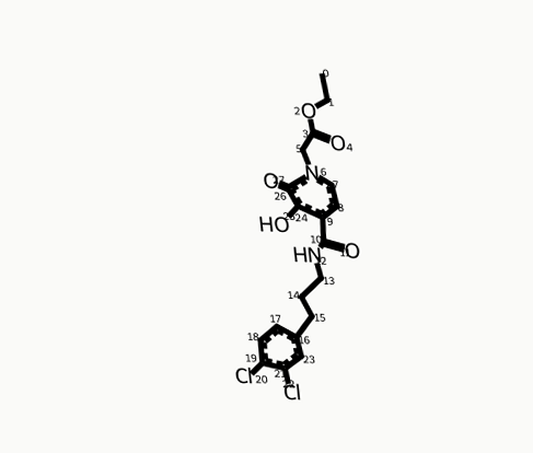 CCOC(=O)Cn1ccc(C(=O)NCCCc2ccc(Cl)c(Cl)c2)c(O)c1=O